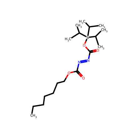 CCCCCCCOC(=O)N=NC(=O)O[Si](C(C)C)(C(C)C)C(C)C